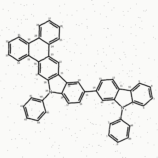 c1ccc(-n2c3ccccc3c3ccc(-c4ccc5c(c4)c4cc6c7ccccc7c7ccccc7c6cc4n5-c4ccccc4)cc32)cc1